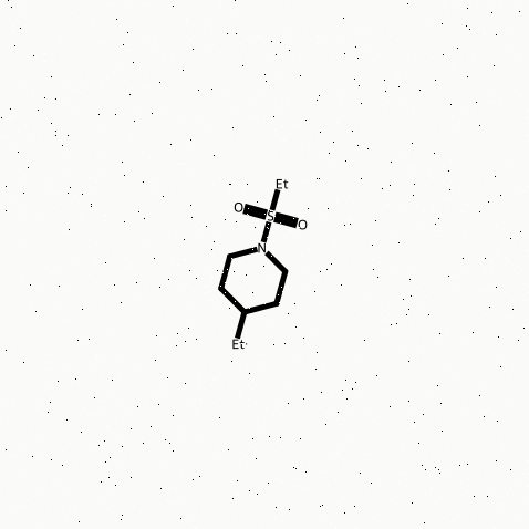 C[CH]C1CCN(S(=O)(=O)CC)CC1